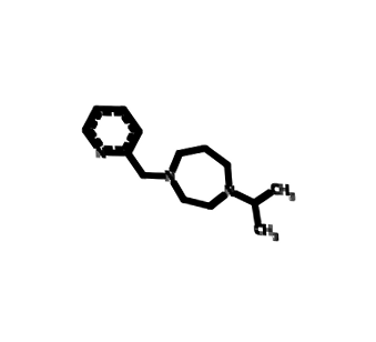 CC(C)N1CCCN(Cc2ccccn2)CC1